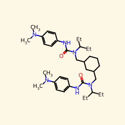 CCC(CC)N(CC1CCCC(CN(C(=O)Nc2ccc(N(C)C)cc2)C(CC)CC)C1)C(=O)Nc1ccc(N(C)C)cc1